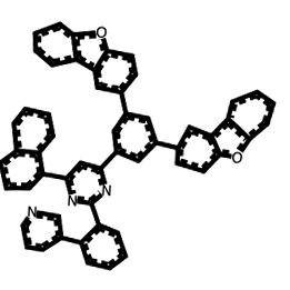 c1cncc(-c2ccccc2-c2nc(-c3cc(-c4ccc5oc6ccccc6c5c4)cc(-c4ccc5oc6ccccc6c5c4)c3)cc(-c3cccc4ccccc34)n2)c1